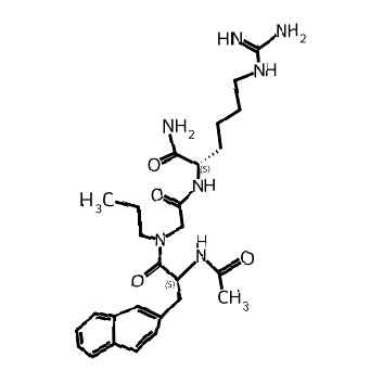 CCCN(CC(=O)N[C@@H](CCCCNC(=N)N)C(N)=O)C(=O)[C@H](Cc1ccc2ccccc2c1)NC(C)=O